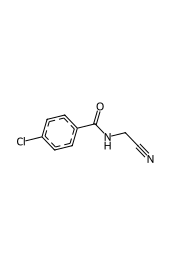 N#CCNC(=O)c1ccc(Cl)cc1